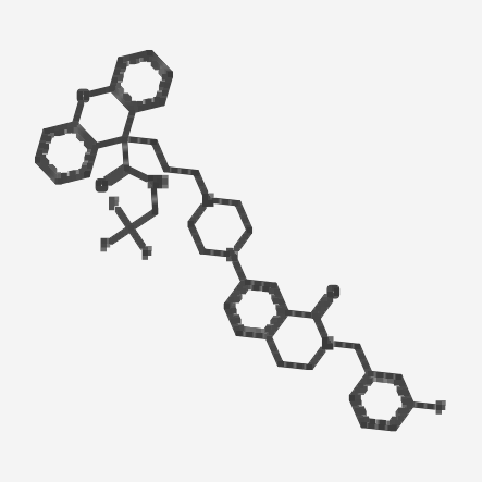 O=C1c2cc(N3CCN(CCCC4(C(=O)NCC(F)(F)F)c5ccccc5Oc5ccccc54)CC3)ccc2CCN1Cc1cccc(F)c1